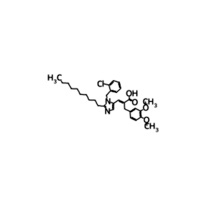 CCCCCCCCCCc1ncc(/C=C(\Cc2ccc(OC)c(OC)c2)C(=O)O)n1Cc1ccccc1Cl